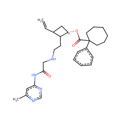 C=CC1C[C@H](OC(=O)C2(c3ccccc3)CCCCCC2)C1CCNCC(=O)Nc1cc(C)ncn1